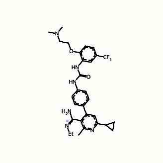 CC/N=C(/N)c1c(-c2ccc(NC(=O)Nc3cc(C(F)(F)F)ccc3OCCN(C)C)cc2)cc(C2CC2)nc1C